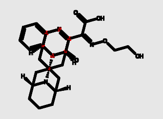 O=C(O)/C(=N\OCCO)c1nc2ccccc2n([C@H]2C[C@H]3CCC[C@@H](C2)N3[C@H]2C[C@@H]3CCC[C@@H](C3)C2)c1=O